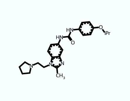 Cc1nc2cc(NC(=O)Nc3ccc(OC(C)C)cc3)ccc2n1CCN1CCCC1